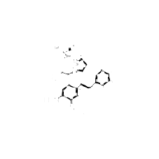 Nc1ccc(C=Cc2ccccc2)cc1N.O=S(=O)(O)O.OCCn1cccn1